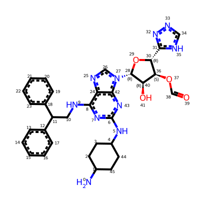 NC1CCC(Nc2nc(NCC(c3ccccc3)c3ccccc3)c3ncn([C@@H]4O[C@H](c5nnc[nH]5)[C@@H](OC=O)[C@H]4O)c3n2)CC1